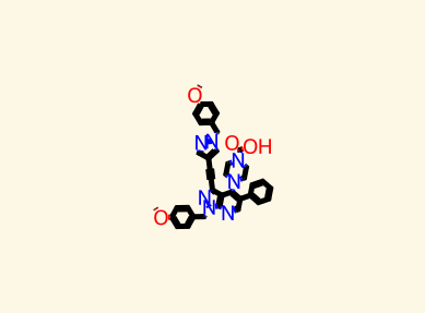 COc1ccc(Cn2cc(C#Cc3nn(Cc4ccc(OC)cc4)c4ncc(-c5ccccc5)c(N5CCN(C(=O)O)CC5)c34)cn2)cc1